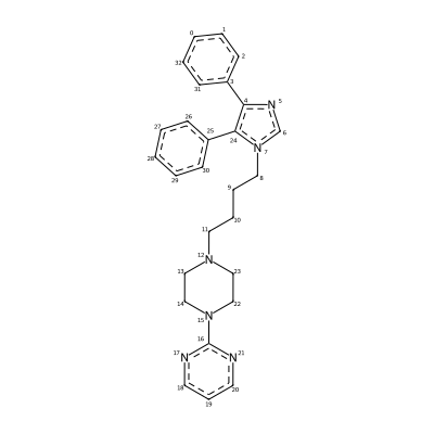 c1ccc(-c2ncn(CCCCN3CCN(c4ncccn4)CC3)c2-c2ccccc2)cc1